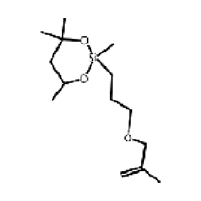 C=C(C)COCCC[Si]1(C)OC(C)CC(C)(C)O1